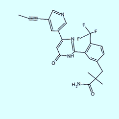 CC#Cc1cncc(-c2cc(=O)[nH]c(-c3cc(CC(C)(C)C(N)=O)ccc3C(F)(F)F)n2)c1